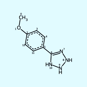 COc1ccc(C2=NNNN2)cc1